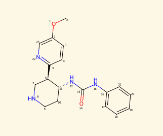 COc1ccc([C@@H]2CNCC[C@H]2NC(=O)Nc2ccccc2)nc1